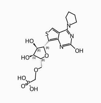 O=P(O)(O)COC[C@H]1O[C@@H](c2scc3c(N4CCCC4)nc(O)nc23)[C@H](O)[C@@H]1O